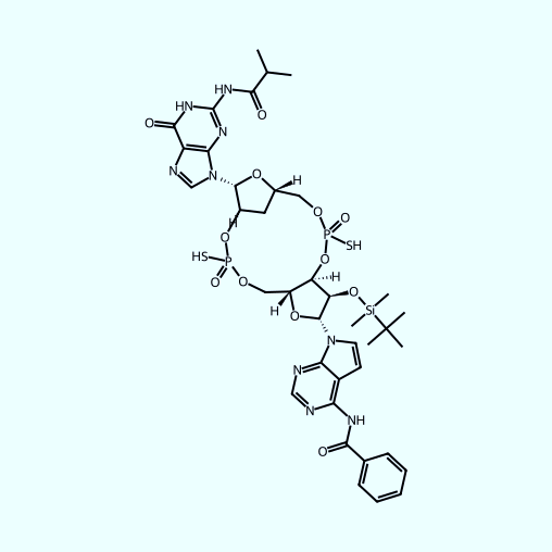 CC(C)C(=O)Nc1nc2c(ncn2[C@@H]2O[C@@H]3COP(=O)(S)O[C@H]4[C@@H](O[Si](C)(C)C(C)(C)C)[C@H](n5ccc6c(NC(=O)c7ccccc7)ncnc65)O[C@@H]4COP(=O)(S)O[C@@H]2C3)c(=O)[nH]1